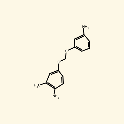 Cc1cc(OCOc2cccc(N)c2)ccc1N